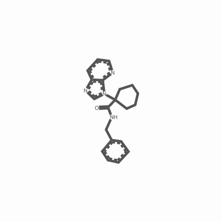 O=C(NCc1ccccc1)C1(n2cnc3cccnc32)CCCCC1